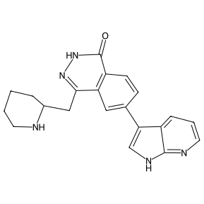 O=c1[nH]nc(CC2CCCCN2)c2cc(-c3c[nH]c4ncccc34)ccc12